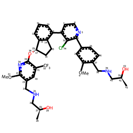 COc1cc(-c2nccc(-c3cccc4c3CC[C@@H]4Oc3nc(OC)c(CNC[C@H](C)O)cc3C(F)(F)F)c2Cl)ccc1CNC[C@H](C)O